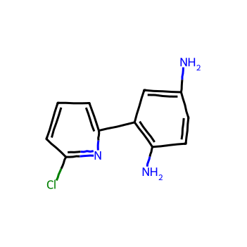 Nc1ccc(N)c(-c2cccc(Cl)n2)c1